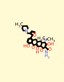 CC1CCN(Cc2ccoc2-c2ccc(O)c3c2CC2CC4C(C(=O)C(C(N)=O)=C(O)[C@H]4N(C)C)C(O)=C2C3=O)CC1